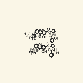 O.O=C(O[C@H]1CCC[C@@H]1NC(=O)c1ccccc1O)c1cc(O)c(C(=O)c2c(O)cccc2NS(=O)(=O)C(F)(F)F)c(O)c1.O=C(O[C@H]1CCC[C@@H]1NC(=O)c1ccccc1O)c1cc(O)c(C(=O)c2c(O)cccc2NS(=O)(=O)C(F)(F)F)c(O)c1